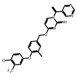 C=C(c1cncnc1)n1ccc(OCc2ccc(Oc3ccc(Cl)c(C(F)(F)F)c3)c(C)c2)nc1=N